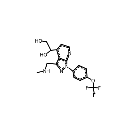 CNCc1nn(-c2ccc(OC(F)(F)F)cc2)c2nccc(C(O)CO)c12